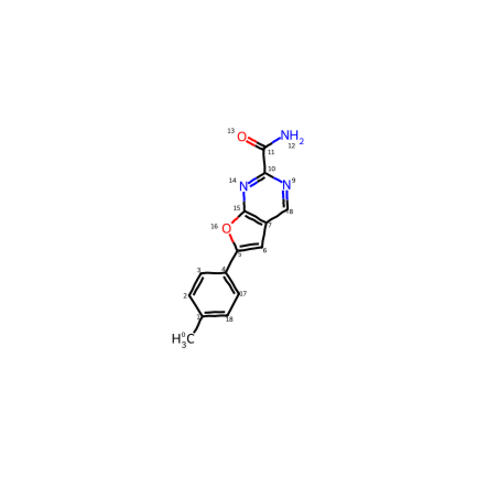 Cc1ccc(-c2cc3[c]nc(C(N)=O)nc3o2)cc1